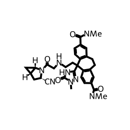 CNC(=O)c1ccc2c(c1)CCc1cc(C(=O)NC)ccc1C2(CCNCC(=O)N1[C@H](C#N)C[C@@H]2C[C@@H]21)c1nn(C)c(=O)[nH]1